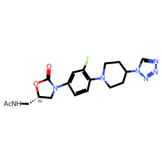 CC(=O)NC[C@H]1CN(c2ccc(N3CCC(n4cnnn4)CC3)c(F)c2)C(=O)O1